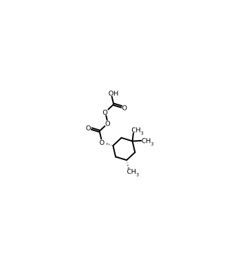 C[C@@H]1C[C@H](OC(=O)OOC(=O)O)CC(C)(C)C1